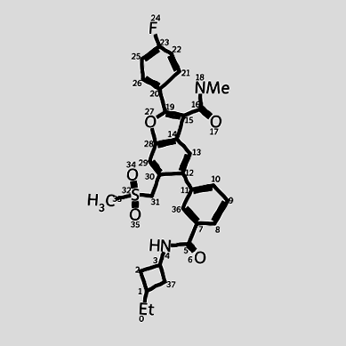 CCC1CC(NC(=O)c2cccc(-c3cc4c(C(=O)NC)c(-c5ccc(F)cc5)oc4cc3CS(C)(=O)=O)c2)C1